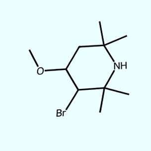 COC1CC(C)(C)NC(C)(C)C1Br